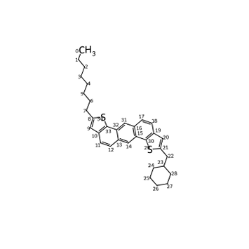 CCCCCCCCc1cc2ccc3cc4c(ccc5cc(CC6CCCCC6)sc54)cc3c2s1